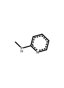 CPc1ccccn1